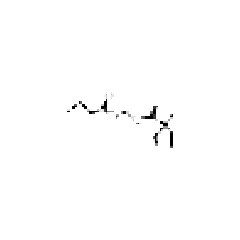 CCCC(=O)OCOC(=O)C(C)(CC)CC